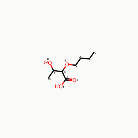 CCCCOC(C(=O)O)C(C)O